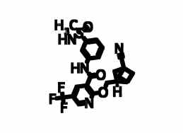 CS(=N)(=O)c1cccc(NC(=O)c2cc(C(F)(F)F)cnc2OC[C@@H]2CC3(C#N)CC2C3)c1